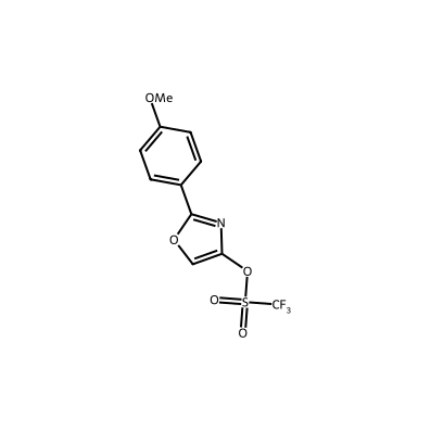 COc1ccc(-c2nc(OS(=O)(=O)C(F)(F)F)co2)cc1